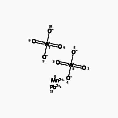 [Mn+2].[O]=[W](=[O])([O-])[O-].[O]=[W](=[O])([O-])[O-].[Pb+2]